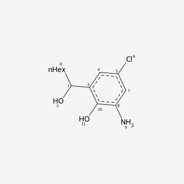 CCCCCCC(O)c1cc(Cl)cc(N)c1O